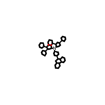 c1ccc(-c2ccc(N(c3ccc(-c4cc5ccccc5c5ccccc45)cc3)c3ccc(-c4ccccc4)c(-c4ccccc4)c3)c(-c3ccccc3)c2)cc1